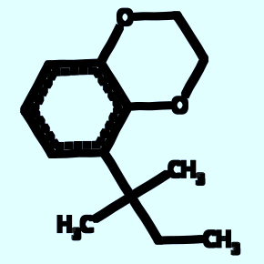 CCC(C)(C)c1cccc2c1OCCO2